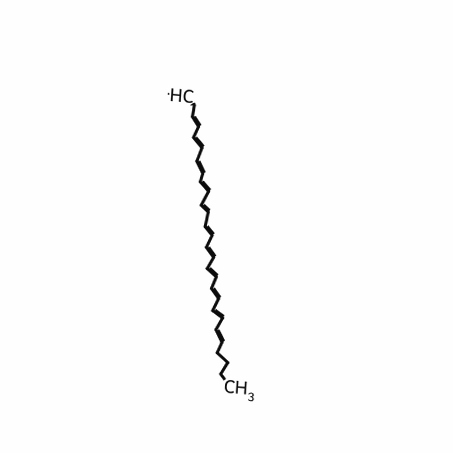 [CH]=CC=CC=CC=CC=CC=CC=CC=CC=CC=CC=CC=CCCCC